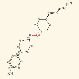 N#C/C=C/C=C/[C@H]1CC[C@H](OC[C@H]2CC[C@H](c3ccc(C#N)cc3)CC2)CC1